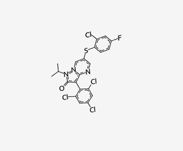 CC(C)n1c(=O)c(-c2c(Cl)cc(Cl)cc2Cl)c2ncc(Sc3ccc(F)cc3Cl)cn21